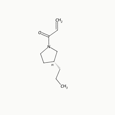 C=CC(=O)N1CC[C@@H](CCC)C1